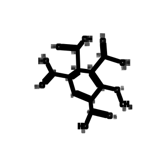 COc1c(C(=O)O)cc(C(=O)O)c(C(=O)O)c1C(=O)O